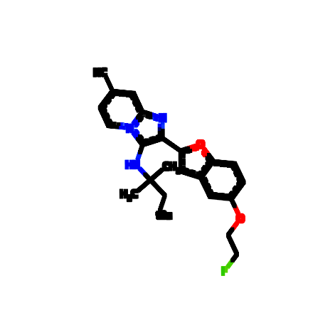 CC(C)(C)CC(C)(C)Nc1c(-c2cc3cc(OCCF)ccc3o2)nc2cc(C#N)ccn12